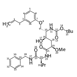 C=CCc1cccc(OC[C@H](NC(=O)OC(C)(C)C)[C@H](O)C[C@@H](OC)C(=O)N[C@H](C(=O)NCc2ccccc2)C(C)C)c1